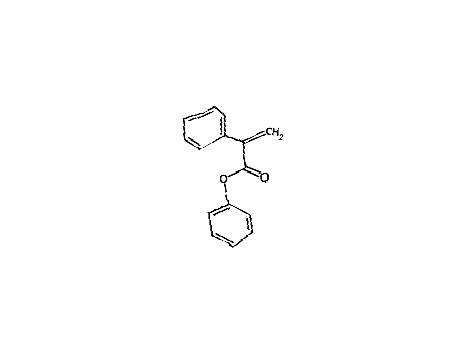 C=C(C(=O)Oc1ccccc1)c1ccccc1